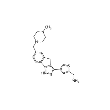 CN1CCN(Cc2ccc3c(c2)Cc2c(-c4csc(CN)c4)n[nH]c2-3)CC1